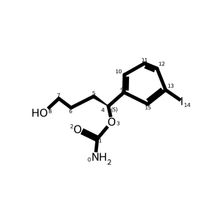 NC(=O)O[C@@H](CCCO)c1cccc(I)c1